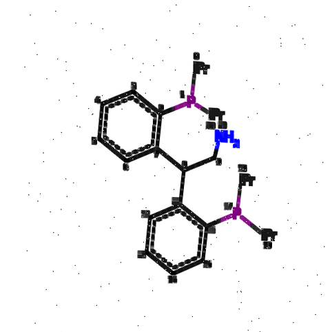 CC(C)P(c1ccccc1C(CN)c1ccccc1P(C(C)C)C(C)C)C(C)C